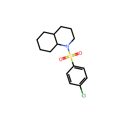 O=S(=O)(c1ccc(Cl)cc1)N1CCCC2CCCCC21